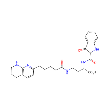 O=C(CCCCc1ccc2c(n1)NCCC2)NCCC(NC(=O)C1Nc2ccccc2C1=O)C(=O)O